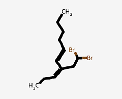 CCC=C(C=CCCCC)CC(Br)Br